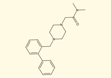 CN(C)C(=O)CN1CCN(Cc2ccccc2-c2ccccc2)CC1